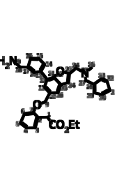 CCOC(=O)Cc1ccccc1OCc1cc(-c2cccc(CN)c2)c2oc(CN(C)Cc3ccccc3)cc2c1